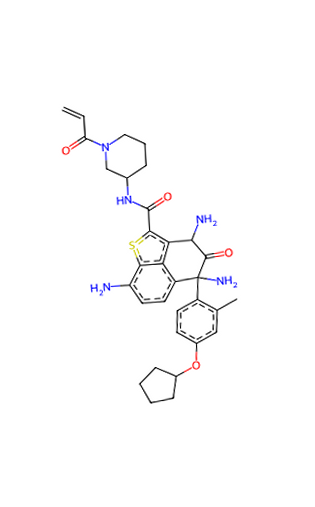 C=CC(=O)N1CCCC(NC(=O)c2sc3c(N)ccc4c3c2C(N)C(=O)C4(N)c2ccc(OC3CCCC3)cc2C)C1